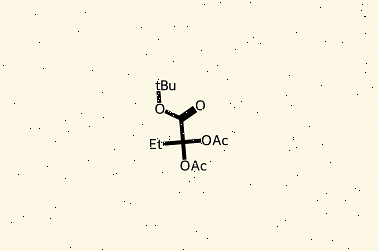 CCC(OC(C)=O)(OC(C)=O)C(=O)OC(C)(C)C